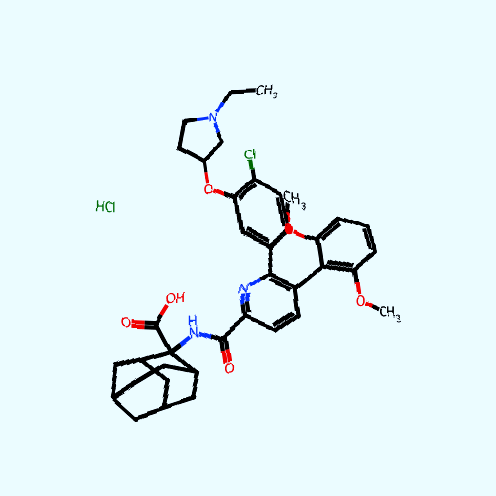 CCN1CCC(Oc2cc(-c3nc(C(=O)NC4(C(=O)O)C5CC6CC(C5)CC4C6)ccc3-c3c(OC)cccc3OC)ccc2Cl)C1.Cl